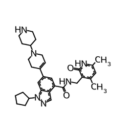 Cc1cc(C)c(CNC(=O)c2cc(C3=CCN(C4CCNCC4)CC3)cc3c2cnn3C2CCCC2)c(=O)[nH]1